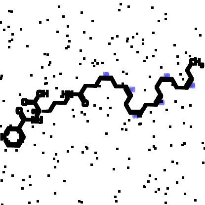 CC/C=C\C/C=C\C/C=C\C/C=C\C/C=C\C/C=C\CCC(=O)NCCC[C@H](NC(=O)c1cccnc1)C(=O)O